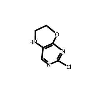 Clc1ncc2c(n1)OCCN2